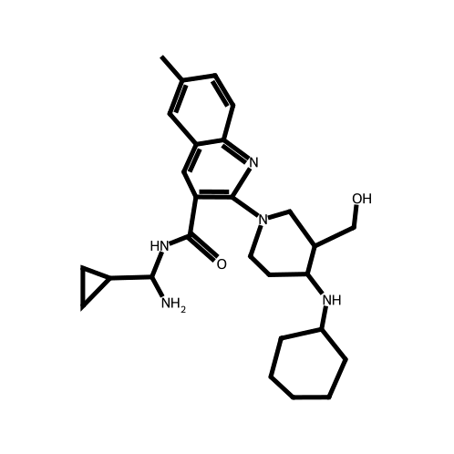 Cc1ccc2nc(N3CCC(NC4CCCCC4)C(CO)C3)c(C(=O)NC(N)C3CC3)cc2c1